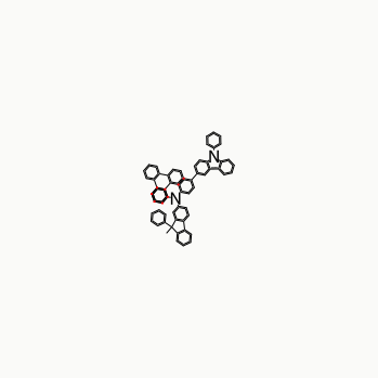 CC1(c2ccccc2)c2ccccc2-c2ccc(N(c3ccc(-c4ccc5c(c4)c4ccccc4n5-c4ccccc4)cc3)c3ccccc3-c3ccccc3-c3ccccc3-c3ccccc3)cc21